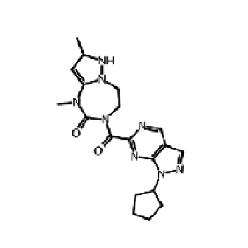 CC1C=C2N(CCN(C(=O)c3ncc4cnn(C5CCCC5)c4n3)C(=O)N2C)N1